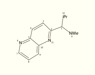 CNC(c1ccc2ncccc2n1)C(C)C